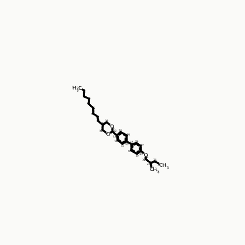 CCCCCCCCCC1COC(c2ccc(-c3ccc(OCC(C)CC)cc3)cc2)OC1